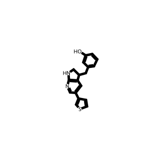 Oc1cccc(CC2CNc3ncc(-c4ccsc4)cc32)c1